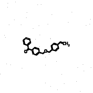 C=Cc1ccc(COCc2ccc(C(=O)c3ccccc3)cc2)cc1